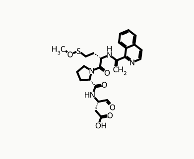 C=C(N[C@@H](CCSOC)C(=O)N1CCC[C@H]1C(=O)N[C@H](C=O)CC(=O)O)c1nccc2ccccc12